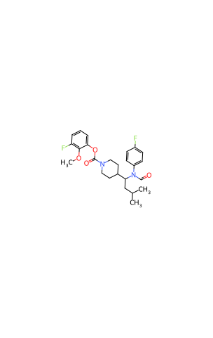 COc1c(F)cccc1OC(=O)N1CCC(C(CC(C)C)N(C=O)c2ccc(F)cc2)CC1